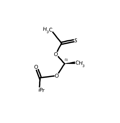 CC(=S)O[C@@H](C)OC(=O)C(C)C